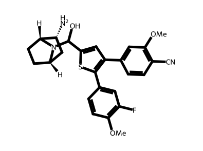 COc1ccc(-c2sc(C(O)N3[C@H]4CC[C@@H]3[C@H](N)C4)cc2-c2ccc(C#N)c(OC)c2)cc1F